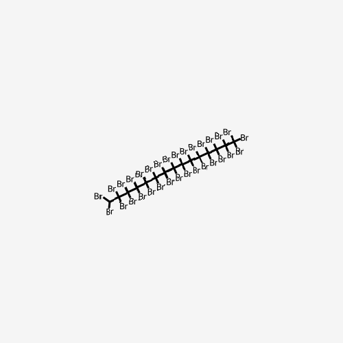 BrC(Br)C(Br)(Br)C(Br)(Br)C(Br)(Br)C(Br)(Br)C(Br)(Br)C(Br)(Br)C(Br)(Br)C(Br)(Br)C(Br)(Br)C(Br)(Br)C(Br)(Br)C(Br)(Br)C(Br)(Br)C(Br)(Br)Br